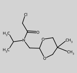 CC(C)N(CC1OCC(C)(C)CO1)C(=O)CCl